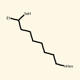 CCCCCCCCCCCCCC([SeH])CC